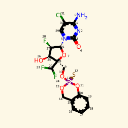 Nc1nc(=O)n([C@@H]2O[C@@](COP3(=S)OCc4ccccc4O3)(C(F)F)[C@@H](O)[C@H]2F)cc1Cl